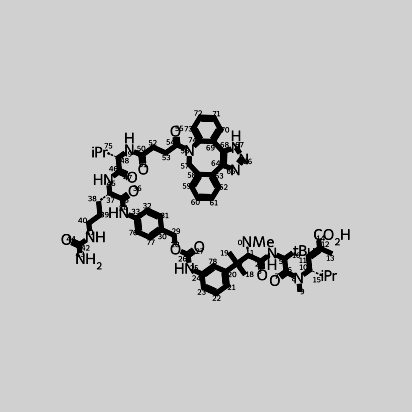 CN[C@H](C(=O)NC(C(=O)N(C)[C@H](/C=C(\C)C(=O)O)C(C)C)C(C)(C)C)C(C)(C)c1cccc(NC(=O)OCc2ccc(NC(=O)[C@H](CCCNC(N)=O)NC(=O)[C@@H](NC(=O)CCC(=O)N3Cc4ccccc4-c4nn[nH]c4-c4ccccc43)C(C)C)cc2)c1